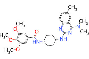 COc1cc(C(=O)N[C@H]2CC[C@@H](Nc3nc(N(C)C)c4cc(C)ccc4n3)CC2)cc(OC)c1OC